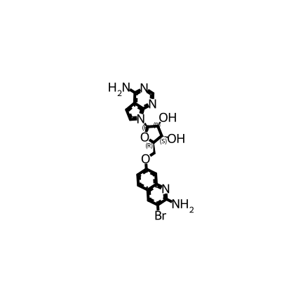 Nc1nc2cc(OC[C@H]3O[C@@H](n4ccc5c(N)ncnc54)[C@H](O)[C@@H]3O)ccc2cc1Br